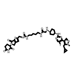 Cn1ncc(-c2nc(N[C@H]3CC[C@H](NCC(=O)NCCCCCNC(=O)NCc4cc5c(s4)C(=O)N(C4CCC(=O)NC4=O)C5)CC3)ncc2F)c1CC1CC1